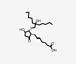 CCCCCC(O)(CCCCC)CS[C@H]1C(O)CC(=O)[C@@H]1CC=CCCCC(=O)O